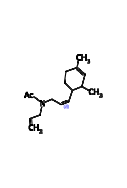 C=CCN(C/C=C\C1CCC(C)=CC1C)C(C)=O